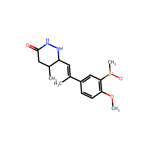 COc1ccc(/C(C)=C/C2NNC(=O)CC2C)cc1[S+](C)[O-]